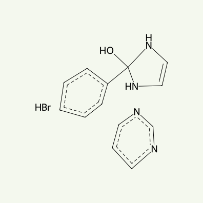 Br.OC1(c2ccccc2)NC=CN1.c1cncnc1